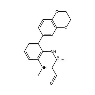 CNc1cccc(-c2ccc3c(c2)OCCO3)c1N[C@H](C)CC=O